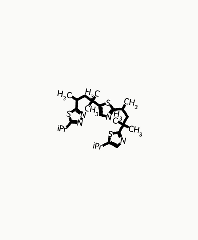 CC(C)c1cnc(C(C)(C)CC(C)c2ncc(C(C)(C)CC(C)c3nnc(C(C)C)s3)s2)s1